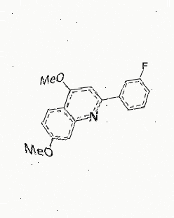 COc1ccc2c(OC)cc(-c3cccc(F)c3)nc2c1